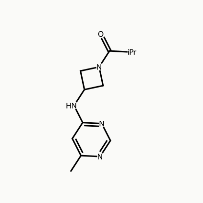 Cc1cc(NC2CN(C(=O)C(C)C)C2)ncn1